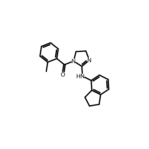 Cc1ccccc1C(=O)N1CCN=C1Nc1cccc2c1CCC2